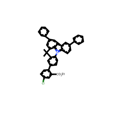 CCOC(=O)c1cc(Cl)ccc1-c1ccc2c(c1)C(C)(C)c1cc(-c3ccccc3)cc3c4cc(-c5ccccc5)ccc4n-2c13